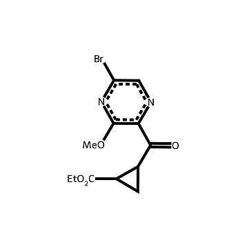 CCOC(=O)C1CC1C(=O)c1ncc(Br)nc1OC